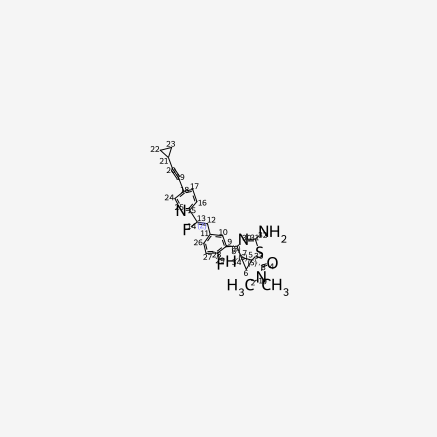 CN(C)C(=O)[C@]12C[C@H]1[C@@H](c1cc(/C=C(\F)c3ccc(C#CC4CC4)cn3)ccc1F)N=C(N)S2